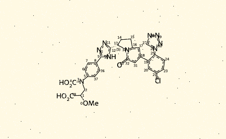 COC(CN(C(=O)O)c1ccc(-c2nnc([C@@H]3CCc4cc(-c5cc(Cl)ccc5-n5cnnn5)cc(=O)n43)[nH]2)cc1)C(=O)O